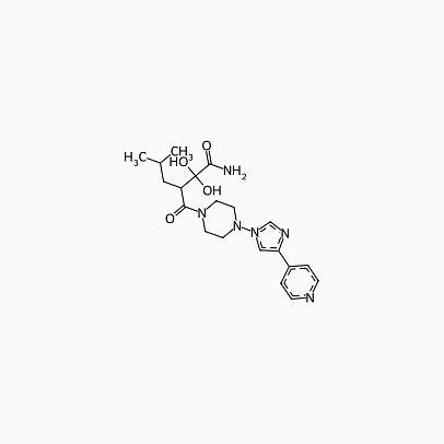 CC(C)CC(C(=O)N1CCN(n2cnc(-c3ccncc3)c2)CC1)C(O)(O)C(N)=O